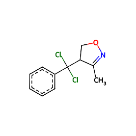 CC1=NOCC1C(Cl)(Cl)c1ccccc1